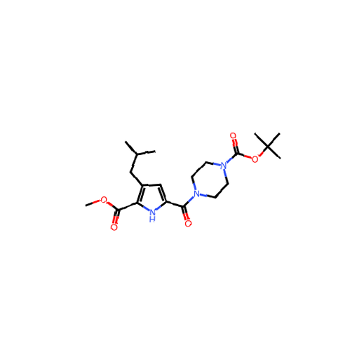 COC(=O)c1[nH]c(C(=O)N2CCN(C(=O)OC(C)(C)C)CC2)cc1CC(C)C